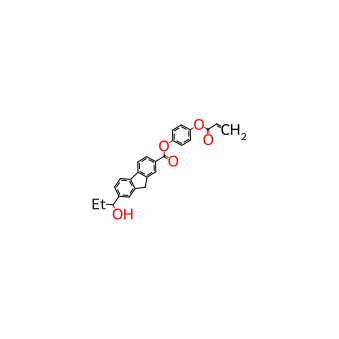 C=CC(=O)Oc1ccc(OC(=O)c2ccc3c(c2)Cc2cc(C(O)CC)ccc2-3)cc1